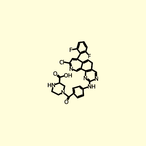 O=C(O)C1CN(C(=O)c2ccc(Nc3ncc4c(n3)C3=CN=C(Cl)C=C(c5c(F)cccc5F)C3=CC4)cc2)CCN1